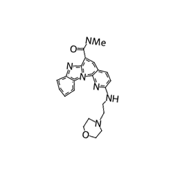 CNC(=O)c1cc2ccc(NCCN3CCOCC3)nc2n2c1nc1ccccc12